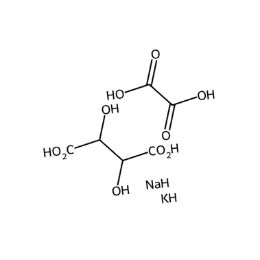 O=C(O)C(=O)O.O=C(O)C(O)C(O)C(=O)O.[KH].[NaH]